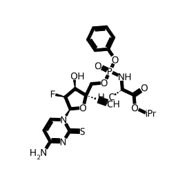 C#C[C@]1(COP(=O)(N[C@@H](C)C(=O)OC(C)C)Oc2ccccc2)O[C@@H](n2ccc(N)nc2=S)[C@@H](F)[C@H]1O